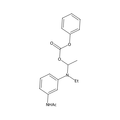 CCN(c1cccc(NC(C)=O)c1)C(C)OC(=O)Oc1ccccc1